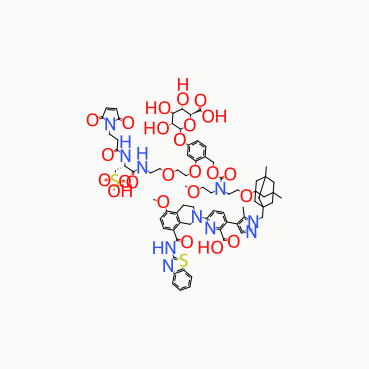 COCCN(CCOC12CC3(C)CC(C)(CC(Cn4ncc(-c5ccc(N6CCc7c(OC)ccc(C(=O)Nc8nc9ccccc9s8)c7C6)nc5C(=O)O)c4C)(C3)C1)C2)C(=O)OCc1ccc(O[C@@H]2O[C@H](C(=O)O)[C@@H](O)[C@H](O)[C@H]2O)cc1OCCOCCNC(=O)[C@H](CS(=O)(=O)O)NC(=O)CCN1C(=O)C=CC1=O